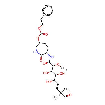 COC(C(=O)NC1CCC(OC(=O)OCCc2ccccc2)CNC1=O)C(O)C(O)C(O)C=CC(C)(C)C=O